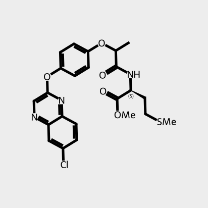 COC(=O)[C@H](CCSC)NC(=O)C(C)Oc1ccc(Oc2cnc3cc(Cl)ccc3n2)cc1